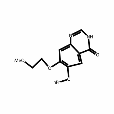 CCCOc1cc2c(=O)[nH]cnc2cc1OCCOC